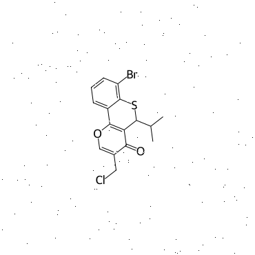 CC(C)C1Sc2c(Br)cccc2-c2occ(CCl)c(=O)c21